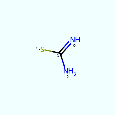 N=C(N)[S]